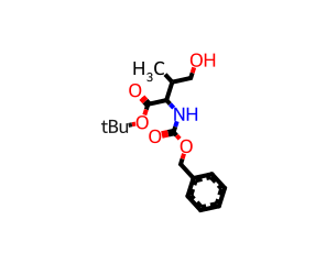 CC(CO)C(NC(=O)OCc1ccccc1)C(=O)OC(C)(C)C